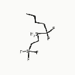 CCCCC(F)(F)[SiH2]CC[Si](F)(F)F